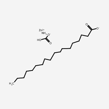 CCCCCCCCCCCCCCCCCC(=O)[O-].N.O=C([O-])O.[Zn+2]